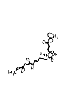 COC(=O)CCC(=O)NCCCC[C@@H](NC(=O)CCC(=O)OC)C(=O)O